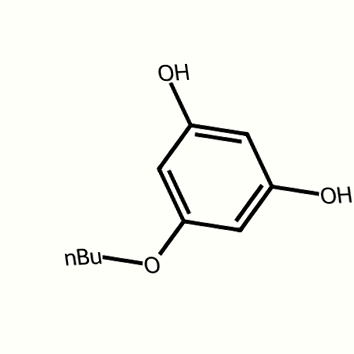 CCCCOc1cc(O)cc(O)c1